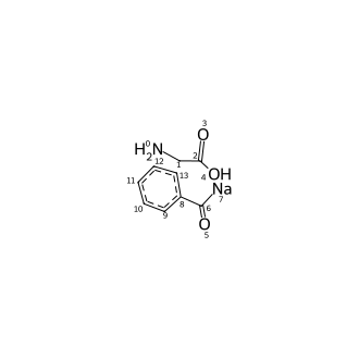 NCC(=O)O.O=[C]([Na])c1ccccc1